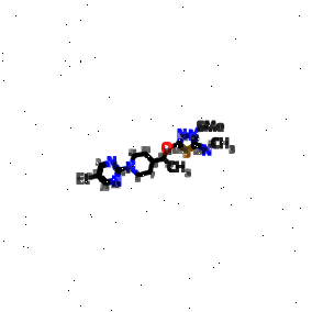 CCc1cnc(N2CCC([C@H](C)Oc3nn(SC)/c(=N\C)s3)CC2)nc1